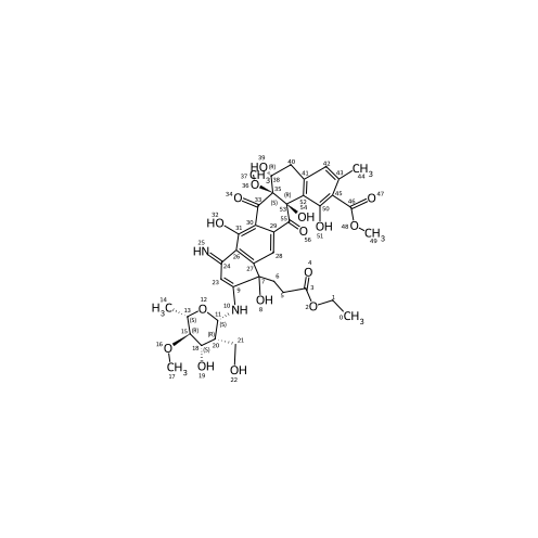 CCOC(=O)CCC1(O)C(N[C@H]2O[C@@H](C)[C@H](OC)[C@@H](O)[C@H]2CO)=CC(=N)c2c1cc1c(c2O)C(=O)[C@]2(OC)[C@H](O)Cc3cc(C)c(C(=O)OC)c(O)c3[C@]2(O)C1=O